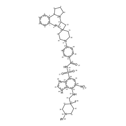 CC(C)c1ccccc1C1CCCN1C1CC2(CCN(c3ccc(C(=O)NS(=O)(=O)c4cc([N+](=O)[O-])c(NCC5(F)CCN(C(C)C)CC5)c5[nH]cnc45)cc3)CC2)C1